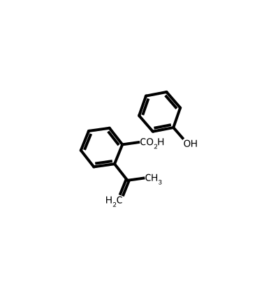 C=C(C)c1ccccc1C(=O)O.Oc1ccccc1